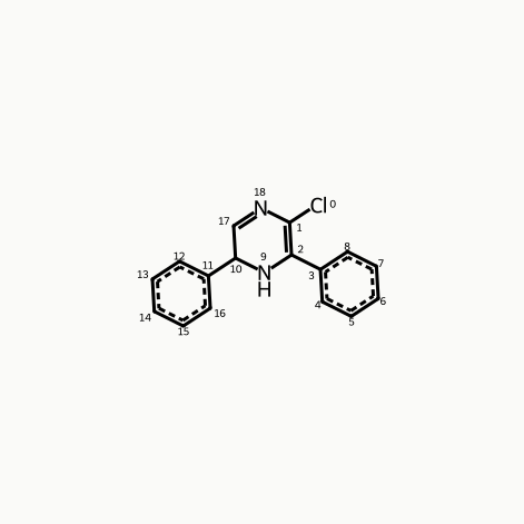 ClC1=C(c2ccccc2)NC(c2ccccc2)C=N1